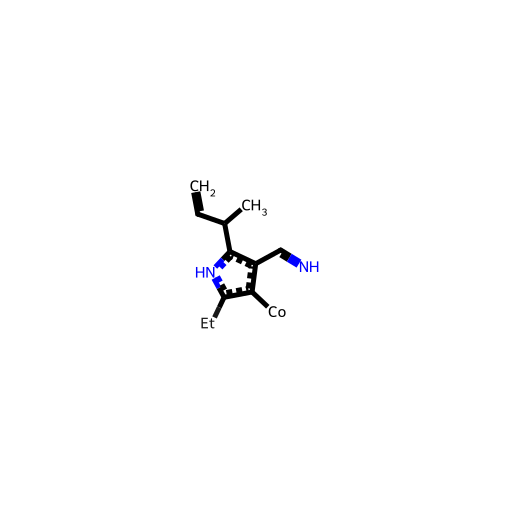 C=CC(C)c1[nH]c(CC)[c]([Co])c1C=N